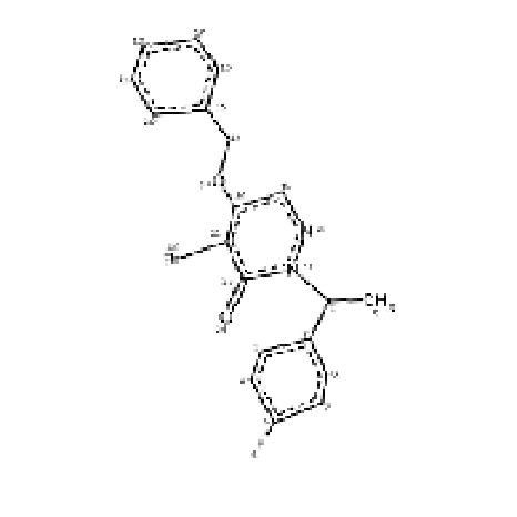 CC(c1ccc(F)cc1)n1ncc(OCc2ccccc2)c(Br)c1=O